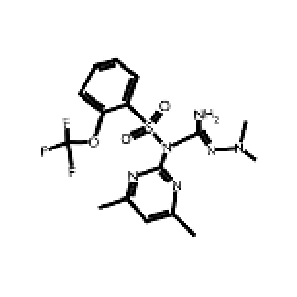 Cc1cc(C)nc(N(C(N)=NN(C)C)S(=O)(=O)c2ccccc2OC(F)(F)F)n1